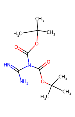 CC(C)(C)OC(=O)N(C(=N)N)C(=O)OC(C)(C)C